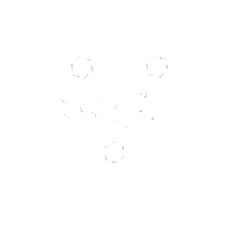 COc1cccc(CNC[C@@H](O)[C@H](Cc2cc(F)cc(F)c2)NC(=O)[C@H](CCc2ccccc2OC)N2CC[C@@](CC3CC3)(NC(C)=O)C2=O)c1